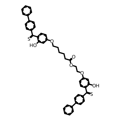 O=C(CCCCCOc1ccc(C(=S)c2ccc(-c3ccccc3)cc2)c(O)c1)OCCOc1ccc(C(=S)c2ccc(-c3ccccc3)cc2)c(O)c1